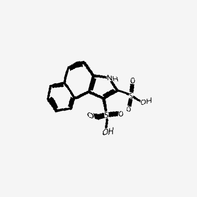 O=S(=O)(O)c1[nH]c2ccc3ccccc3c2c1S(=O)(=O)O